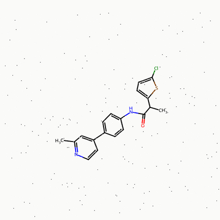 Cc1cc(-c2ccc(NC(=O)C(C)c3ccc(Cl)s3)cc2)ccn1